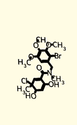 COc1cc(CN(C)C(=O)C2=CC(C)(Cl)C(O)C=C2O)c(Br)c(OC)c1OC